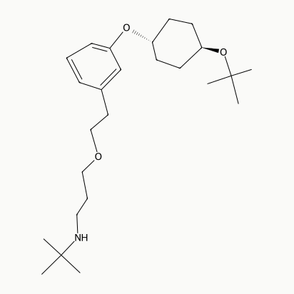 CC(C)(C)NCCCOCCc1cccc(O[C@H]2CC[C@H](OC(C)(C)C)CC2)c1